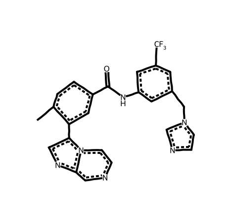 Cc1ccc(C(=O)Nc2cc(Cn3ccnc3)cc(C(F)(F)F)c2)cc1-c1cnc2cnccn12